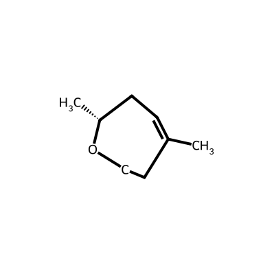 CC1=CC[C@@H](C)OCC1